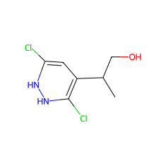 CC(CO)C1=C(Cl)NNC(Cl)=C1